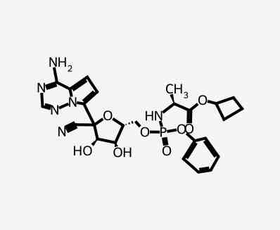 C[C@H](NP(=O)(OC[C@H]1OC(C#N)(c2ccc3c(N)ncnn23)[C@H](O)[C@@H]1O)Oc1ccccc1)C(=O)OC1CCC1